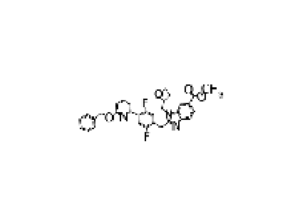 COC(=O)c1ccc2nc(Cc3cc(F)c(-c4cccc(OCc5ccccc5)n4)cc3F)n(CC3CCO3)c2c1